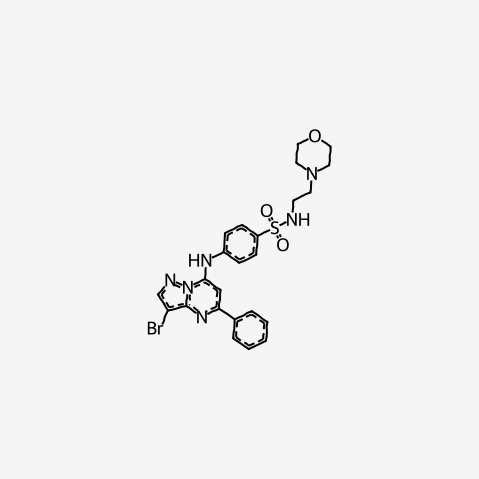 O=S(=O)(NCCN1CCOCC1)c1ccc(Nc2cc(-c3ccccc3)nc3c(Br)cnn23)cc1